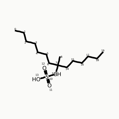 CCCCCCCC(C)(BS(=O)(=O)O)CCCCCC